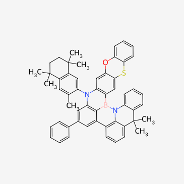 Cc1cc2c(cc1N1c3cc4c(cc3B3c5c(cc(-c6ccccc6)cc51)-c1cccc5c1N3c1ccccc1C5(C)C)Sc1ccccc1O4)C(C)(C)CCC2(C)C